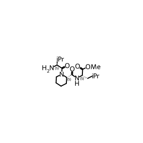 COC(=O)[C@H](CC(C)C)NC(=O)[C@@H]1CCCCN1C(=O)[C@@H](N)C(C)C